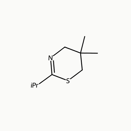 CC(C)C1=NCC(C)(C)CS1